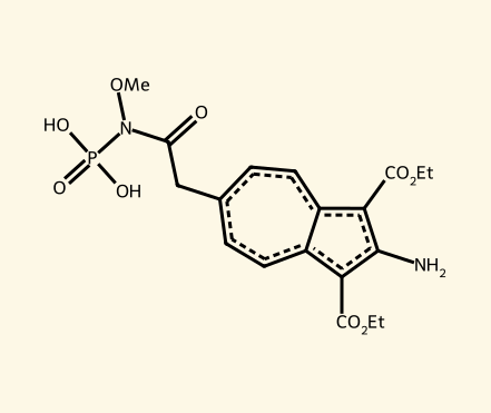 CCOC(=O)c1c2ccc(CC(=O)N(OC)P(=O)(O)O)ccc-2c(C(=O)OCC)c1N